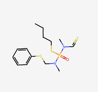 CCCCSP(=O)(N(C)C=S)N(C)CSc1ccccc1